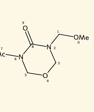 COCN1COCN(C(C)=O)C1=O